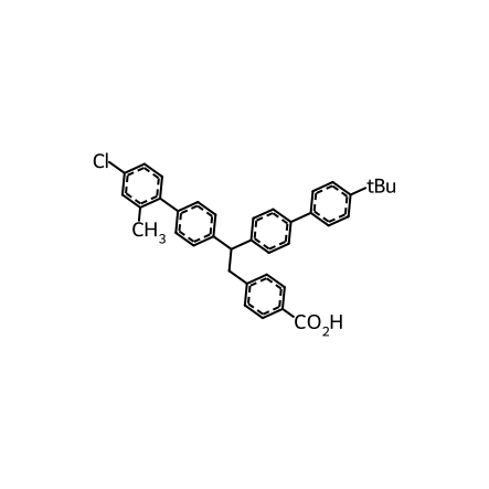 Cc1cc(Cl)ccc1-c1ccc(C(Cc2ccc(C(=O)O)cc2)c2ccc(-c3ccc(C(C)(C)C)cc3)cc2)cc1